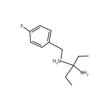 CCC(N)(CC)[SiH2]Cc1ccc(F)cc1